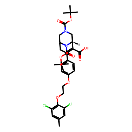 Cc1cc(Cl)c(OCCOc2ccc(C3=C(C(=O)O)[C@H]4CN(C(=O)OC(C)(C)C)CC(C3)N4C(=O)OC(C)(C)C)cc2)c(Cl)c1